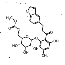 COC(=O)OCC1OC(Oc2cc(C)cc(O)c2C(=O)CCc2ccc3occc3c2)[C@H](O)[C@@H](O)[C@@H]1O